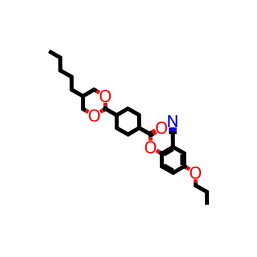 CCCCCC1COC(C2CCC(C(=O)Oc3ccc(OCCC)cc3C#N)CC2)OC1